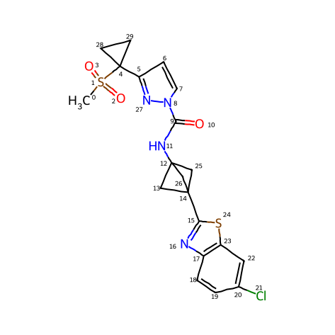 CS(=O)(=O)C1(c2ccn(C(=O)NC34CC(c5nc6ccc(Cl)cc6s5)(C3)C4)n2)CC1